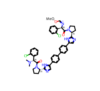 COO/C=N\[C@@H](C(=O)N1CCC[C@H]1c1ncc(-c2ccc(-c3ccc(-c4cnc([C@@H]5CCCN5C(=O)[C@@H](c5ccccc5Cl)N(C)C)[nH]4)cc3)cc2)[nH]1)c1ccccc1Cl